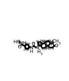 CN1C(=O)C=C[C@]2(C)[C@H]3CC[C@]4(C)[C@@H](CC(=O)Nc5ccc(C(=O)NO)cc5)CC[C@H]4[C@@H]3CC[C@@H]12